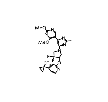 COc1ncc(-c2cc(N3CC(Oc4cc(C5(C(F)(F)F)CC5)ccn4)C(F)(F)C3)nc(C)n2)c(OC)n1